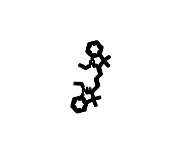 CCN1C(=CC=CC2=[N+](CC)c3ccccc3C2(C)C)C(C)(C)c2ccccc21